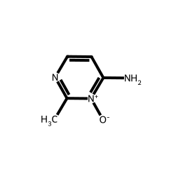 Cc1nccc(N)[n+]1[O-]